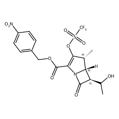 CC(O)[C@H]1C(=O)N2C(C(=O)OCc3ccc([N+](=O)[O-])cc3)=C(OS(=O)(=O)C(F)(F)F)[C@H](C)[C@H]12